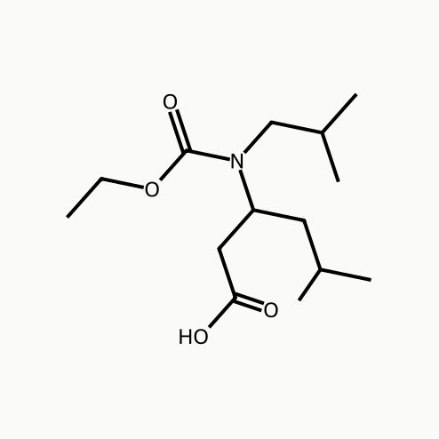 CCOC(=O)N(CC(C)C)C(CC(=O)O)CC(C)C